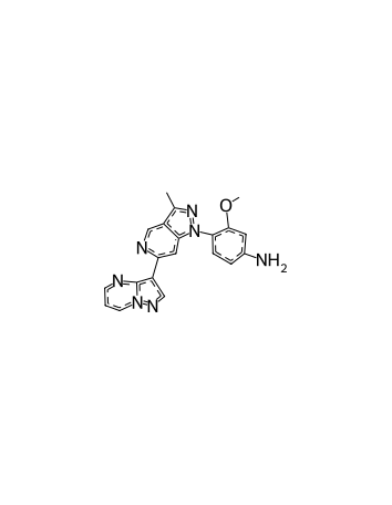 COc1cc(N)ccc1-n1nc(C)c2cnc(-c3cnn4cccnc34)cc21